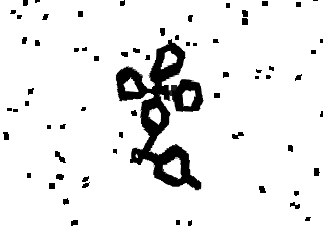 Cc1ccc(C(=O)c2ccc([PH](c3ccccc3)(c3ccccc3)c3ccccc3)cc2)cc1